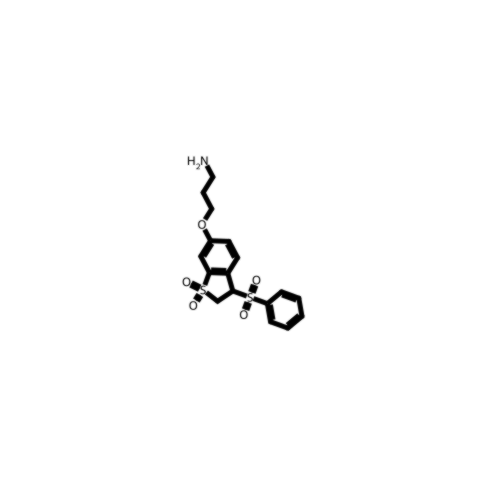 NCCCOc1ccc2c(c1)S(=O)(=O)CC2S(=O)(=O)c1ccccc1